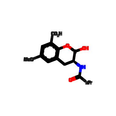 CCCC(=O)N[C@H]1Cc2cc(OC)cc(C(=O)O)c2OB1O